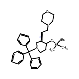 CC(C)(C)[Si](C)(C)OC1CCN(C(c2ccccc2)(c2ccccc2)c2ccccc2)C/C1=C/CN1CCOCC1